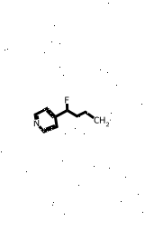 [CH2]CCC(F)c1ccncc1